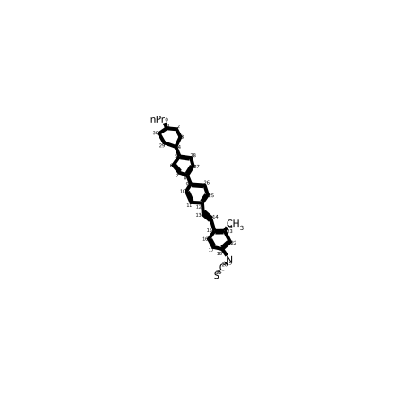 CCCC1CCC(c2ccc(-c3ccc(C#Cc4ccc(N=C=S)cc4C)cc3)cc2)CC1